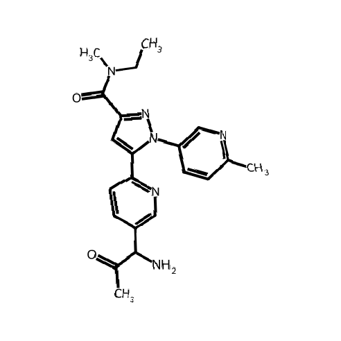 CCN(C)C(=O)c1cc(-c2ccc(C(N)C(C)=O)cn2)n(-c2ccc(C)nc2)n1